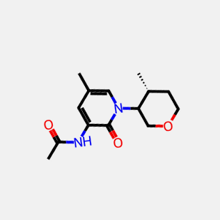 CC(=O)Nc1cc(C)cn(C2COCC[C@H]2C)c1=O